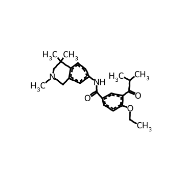 CCOc1ccc(C(=O)Nc2ccc3c(c2)CN(C)CC3(C)C)cc1C(=O)C(C)C